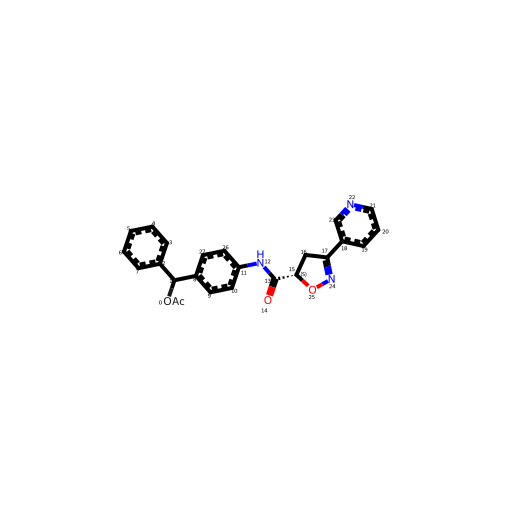 CC(=O)OC(c1ccccc1)c1ccc(NC(=O)[C@@H]2CC(c3cccnc3)=NO2)cc1